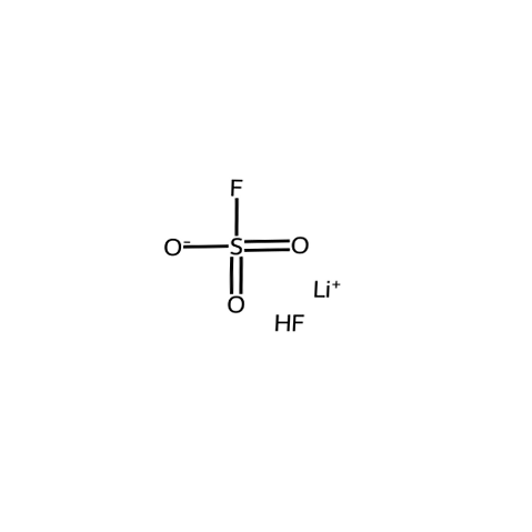 F.O=S(=O)([O-])F.[Li+]